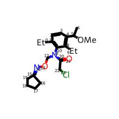 CCc1ccc(C(C)OC)c(CC)c1N(CON=C1CCCC1)C(=O)CCl